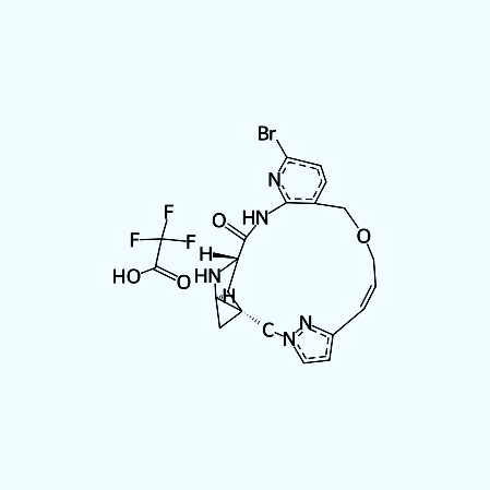 O=C(O)C(F)(F)F.O=C1Nc2nc(Br)ccc2COC/C=C\c2ccn(n2)C[C@@]23C[C@@H]1N[C@@H]2C3